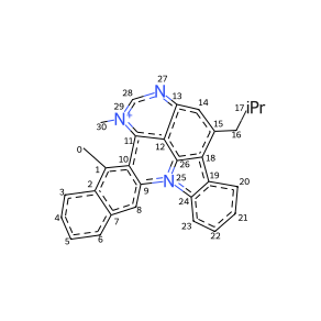 Cc1c2ccccc2cc2c1c1c3c(cc(CC(C)C)c4c5ccccc5n2c43)nc[n+]1C